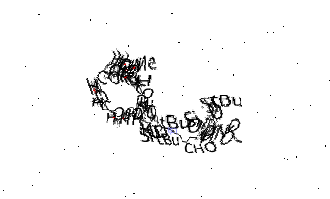 C=CCOC(=O)NC[C@H]1O[C@@H](CCC(C=O)CC/C=C/C(O)C[C@H]2O[C@H]3[C@H](C)[C@H]4OC(=O)C[C@H]5CC[C@@H]6O[C@@H]7[C@@H](OC)[C@@H](O[C@@]8(CC[C@H]9CC(=C)[C@H](CC[C@H]%10C[C@@H](C)C(=C)[C@@H](C[C@@H]4O[C@H]3CC2O[Si](C)(C)C(C)(C)C)O%10)O9)CC[C@@H]7O8)[C@H]6O5)[C@@H](O[Si](C)(C)C(C)(C)C)C[C@H]1O[Si](C)(C)C(C)(C)C